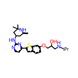 C=C1CC(Nc2nccc(-c3cc4ccc(OCC(O)CNC(C)C)cc4s3)n2)CC(C)(C)N1